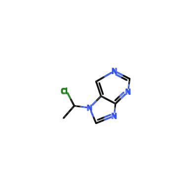 CC(Cl)n1cnc2ncncc21